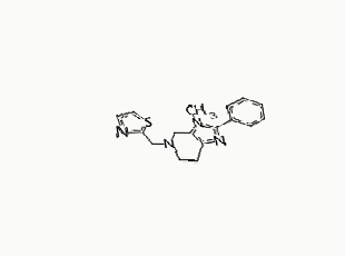 Cn1c(-c2ccccc2)nc2c1CN(Cc1nccs1)CC2